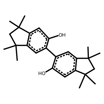 CC1(C)CC(C)(C)c2cc(-c3cc4c(cc3O)C(C)(C)CC4(C)C)c(O)cc21